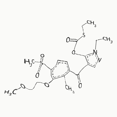 CCSC(=O)Oc1c(C(=O)c2ccc(S(C)(=O)=O)c(OCCOC)c2C)cnn1CC